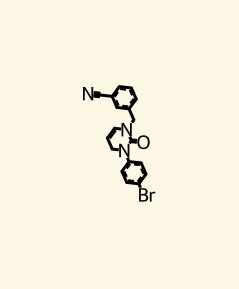 N#Cc1cccc(CN2C=CCN(c3ccc(Br)cc3)C2=O)c1